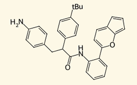 CC(C)(C)c1ccc(C(Cc2ccc(N)cc2)C(=O)Nc2ccccc2-c2ccc3cccc-3o2)cc1